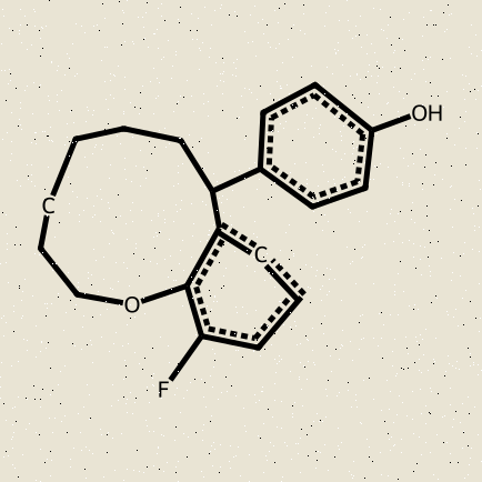 Oc1ccc(C2CCCCCCOc3c(F)cccc32)cc1